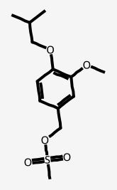 COc1cc(COS(C)(=O)=O)ccc1OCC(C)C